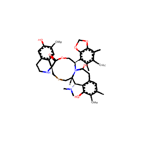 COc1cc2c(cc1O)CCN[C@]21CSC[C@H]2[C@@H](N(C)C)c3c(cc(C)c(OC)c3O)C[C@H](O)N2[C@H](c2c(C)c(OC(C)=O)c(C)c3c2OCO3)COC1=O